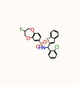 O=S(=O)(NC(c1cc2ccccc2s1)c1ccccc1Cl)c1ccc2c(c1)OCC(F)CO2